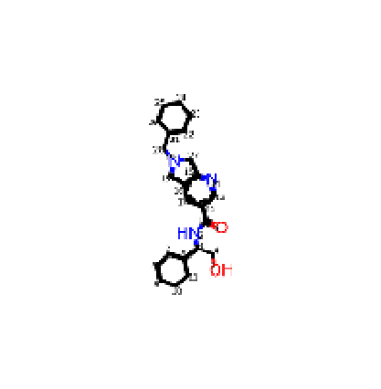 O=C(N[C@@H](CO)C1CCCCC1)c1cnc2c(c1)CN(CC1CCCCC1)C2